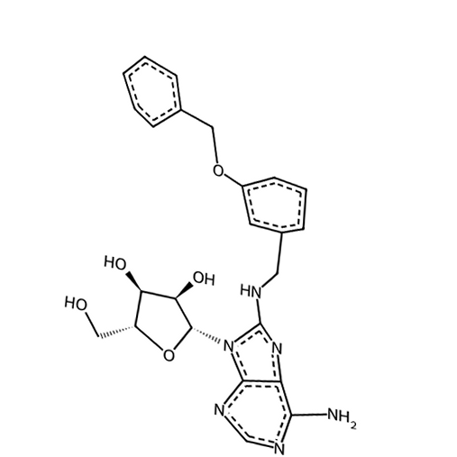 Nc1ncnc2c1nc(NCc1cccc(OCc3ccccc3)c1)n2[C@@H]1O[C@H](CO)[C@@H](O)[C@H]1O